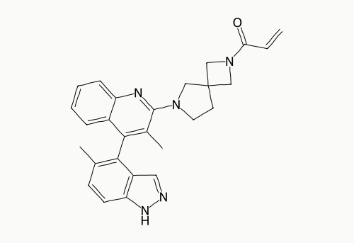 C=CC(=O)N1CC2(CCN(c3nc4ccccc4c(-c4c(C)ccc5[nH]ncc45)c3C)C2)C1